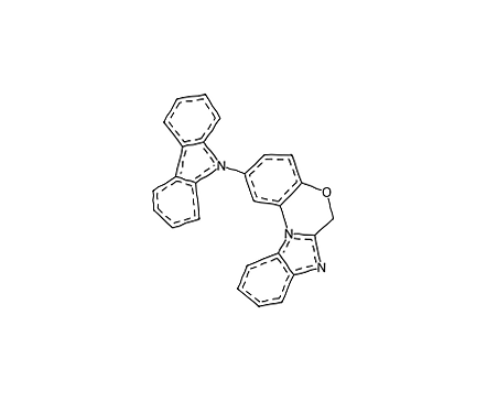 c1ccc2c(c1)nc1n2-c2cc(-n3c4ccccc4c4ccccc43)ccc2OC1